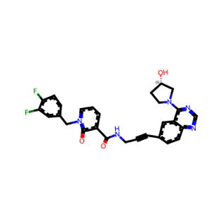 O=C(NCC#Cc1ccc2ncnc(N3CC[C@H](O)C3)c2c1)c1cccn(Cc2ccc(F)c(F)c2)c1=O